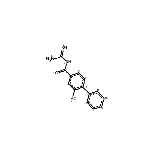 CC(=O)c1cc(C(=O)NC(=N)N)ccc1-c1cccnc1